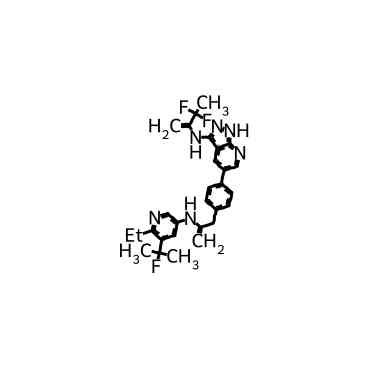 C=C(Cc1ccc(-c2cnc3[nH]nc(NC(=C)C(C)(F)F)c3c2)cc1)Nc1cnc(CC)c(C(C)(C)F)c1